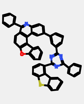 c1ccc(-c2nc(-c3cccc(-c4ccc5nc(-c6ccccc6)c6ccc7oc8ccccc8c7c6c5c4)c3)nc(-c3cccc4sc5ccccc5c34)n2)cc1